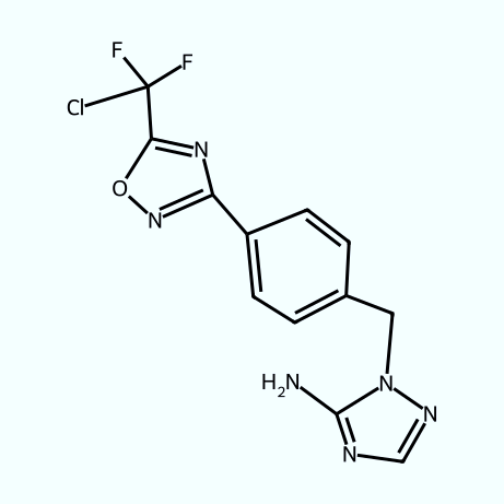 Nc1ncnn1Cc1ccc(-c2noc(C(F)(F)Cl)n2)cc1